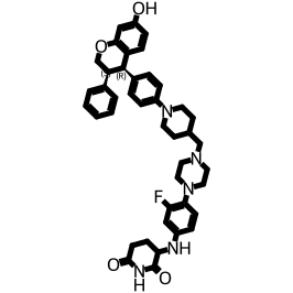 O=C1CCC(Nc2ccc(N3CCN(CC4CCN(c5ccc([C@@H]6c7ccc(O)cc7OC[C@@H]6c6ccccc6)cc5)CC4)CC3)c(F)c2)C(=O)N1